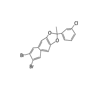 CC1(c2cccc(Cl)c2)Oc2cc3cc(Br)c(Br)cc3cc2O1